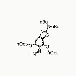 CCCCCCCCOc1cc2nc(N(CCCC)CCCC)sc2c(OCCCCCCCC)c1N=N